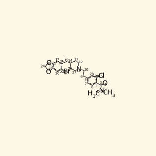 CN(C)C(=O)c1ccc(CCN2CCC(Cc3cc4c(cc3Br)OCO4)CC2)cc1Cl